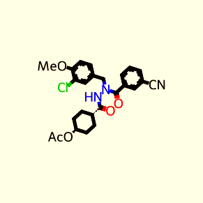 COc1ccc(CN(NC(=O)[C@H]2CC[C@H](OC(C)=O)CC2)C(=O)c2cccc(C#N)c2)cc1Cl